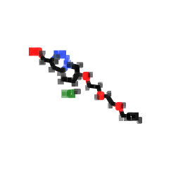 CCOCCOCCOc1ccc(CC(N)CO)nc1.Cl